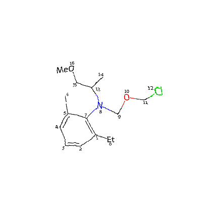 CCc1cccc(C)c1N(COCCl)C(C)COC